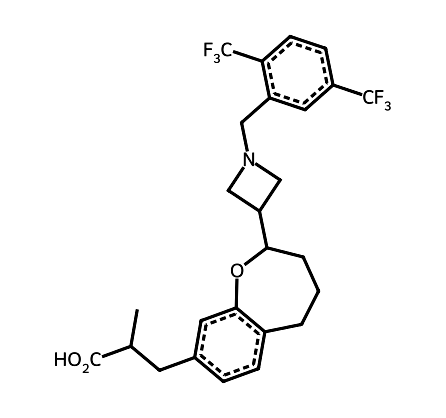 CC(Cc1ccc2c(c1)OC(C1CN(Cc3cc(C(F)(F)F)ccc3C(F)(F)F)C1)CCC2)C(=O)O